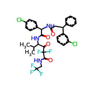 CC(C)C(NC(=O)C(NC(=O)CC(c1ccccc1)c1cccc(Cl)c1)c1ccc(Cl)cc1)C(=O)C(F)(F)C(=O)NCC(F)(F)F